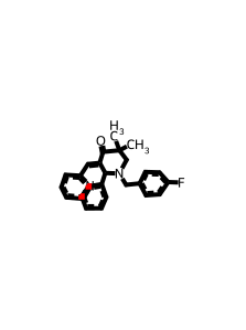 CC1(C)CN(Cc2ccc(F)cc2)C(c2ccccc2)/C(=C\c2ccccn2)C1=O